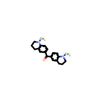 CN1CCCc2cc(C(=O)c3ccc4c(c3)CCCN4C)ccc21